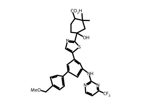 COCc1ccc(-c2cc(Nc3nccc(C(F)(F)F)n3)cc(-c3cnc(C4(O)CCC(C(=O)O)C(C)(C)C4)s3)c2)cc1